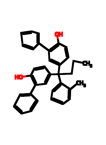 CCCC(c1ccc(O)c(-c2ccccc2)c1)(c1ccc(O)c(-c2ccccc2)c1)c1ccccc1C